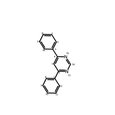 [c]1ccc(-c2cc(-c3ccccc3)ncn2)cc1